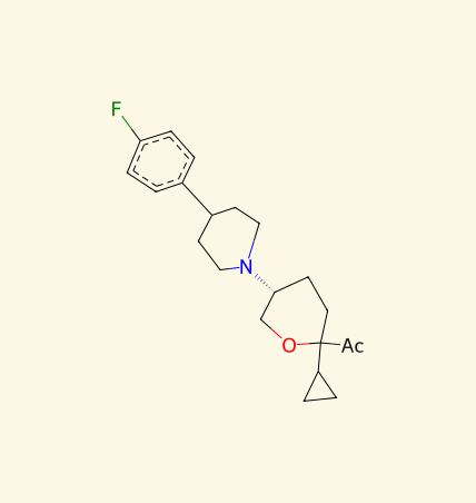 CC(=O)C1(C2CC2)CC[C@@H](N2CCC(c3ccc(F)cc3)CC2)CO1